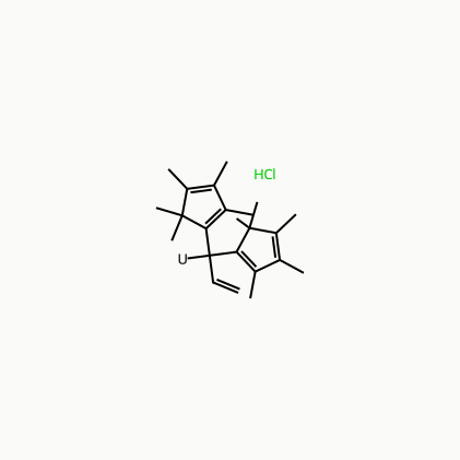 C=C[C]([U])(C1=C(C)C(C)=C(C)C1(C)C)C1=C(C)C(C)=C(C)C1(C)C.Cl